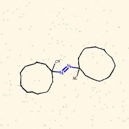 N#CC1(N=NC2(C#N)CCCCCCCCC2)CCCCCCCCC1